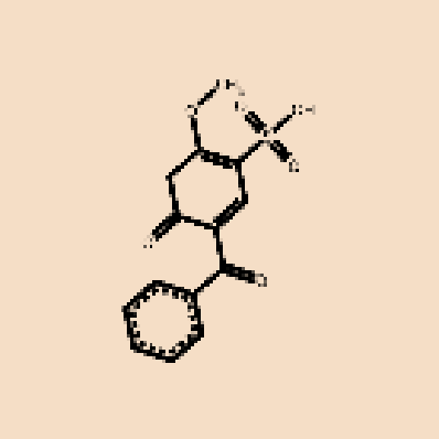 COC1=C(S(=O)(=O)O)C=C(C(=O)c2ccccc2)C(=O)C1